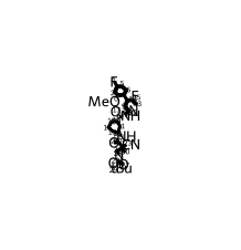 COc1cc(F)ccc1-c1cc(NC(=O)[C@H]2CCC[C@@H](NC(=O)C3(C#N)CN(C(=O)OC(C)(C)C)C3)C2)ncc1F